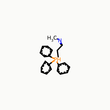 C/N=C\CC[PH](c1ccccc1)(c1ccccc1)c1ccccc1